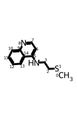 CSCCNc1ccnc2ccccc12